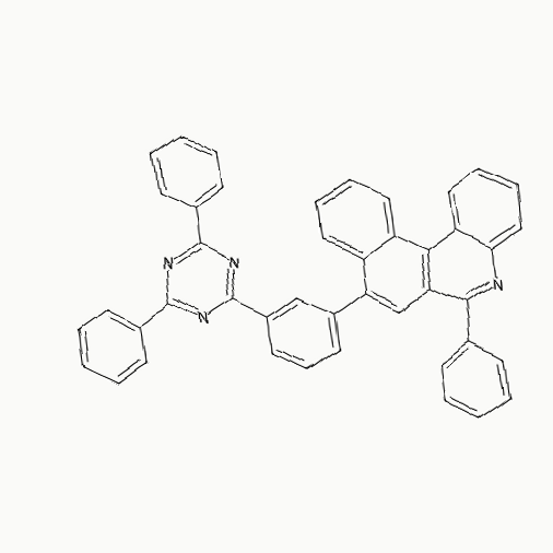 c1ccc(-c2nc(-c3ccccc3)nc(-c3cccc(-c4cc5c(-c6ccccc6)nc6ccccc6c5c5ccccc45)c3)n2)cc1